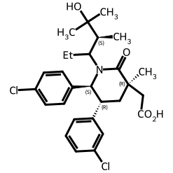 CCC([C@H](C)C(C)(C)O)N1C(=O)[C@@](C)(CC(=O)O)C[C@H](c2cccc(Cl)c2)[C@H]1c1ccc(Cl)cc1